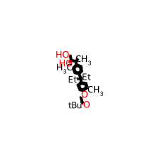 CCC(CC)(c1ccc(OCC(=O)C(C)(C)C)c(C)c1)c1ccc(C(C)C(O)CO)c(C)c1